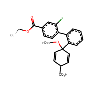 CCCCCCCCCCOC1(c2ccccc2-c2ccc(C(=O)OC[C@@H](C)CC)cc2F)C=CC(C(=O)O)C=C1